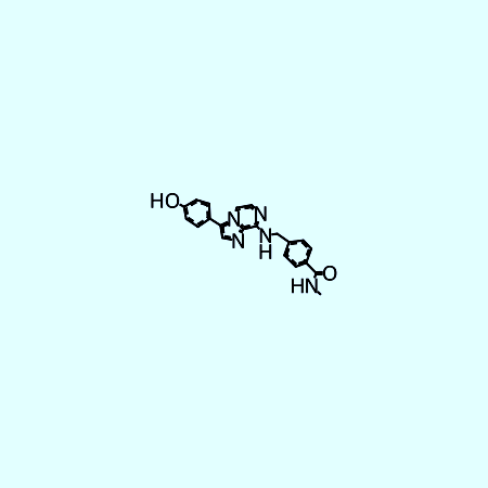 CNC(=O)c1ccc(CNc2nccn3c(-c4ccc(O)cc4)cnc23)cc1